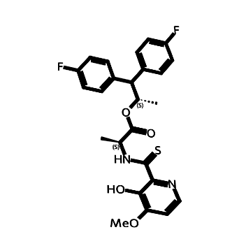 COc1ccnc(C(=S)N[C@@H](C)C(=O)O[C@@H](C)C(c2ccc(F)cc2)c2ccc(F)cc2)c1O